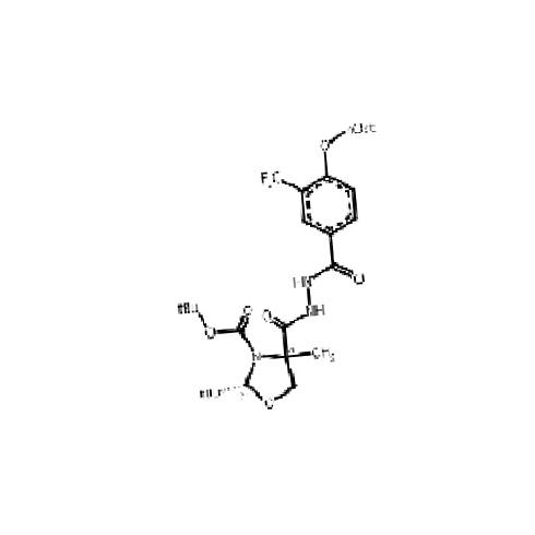 CCCCCCCCOc1ccc(C(=O)NNC(=O)[C@]2(C)CO[C@H](C(C)(C)C)N2C(=O)OC(C)(C)C)cc1C(F)(F)F